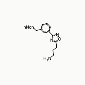 CCCCCCCCCCc1cccc(-c2noc(CCCN)n2)c1